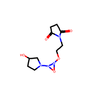 O=C1CCC(=O)N1CCOn1on1N1CCC(O)C1